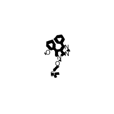 COc1ccccc1-c1cn(COCC[Si](C)(C)C)c2ncnc(-c3ccccc3)c12